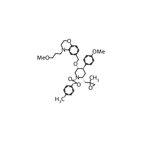 COCCCN1CCOc2ccc(CO[C@H]3CN(S(=O)(=O)c4ccc(C)cc4)[C@@H](C[C@]4(C)CO4)C[C@@H]3c3ccc(OC)cc3)cc21